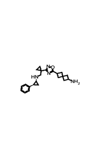 NC1CC2(C1)CC(c1nc(C3(CN[C@@H]4C[C@H]4c4ccccc4)CC3)no1)C2